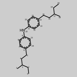 CCC(C)CCc1ccc(Nc2ccc(CCC(C)CC)cc2)cc1